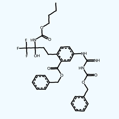 CCCCOC(=O)NC(O)(CCc1ccc(NC(=N)NC(=O)OCc2ccccc2)cc1C(=O)OCc1ccccc1)C(F)(F)F